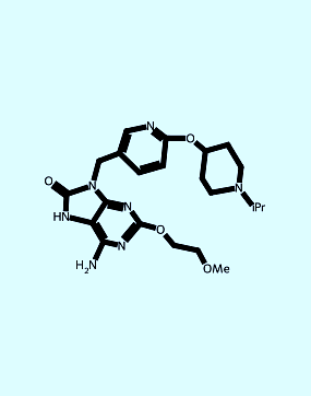 COCCOc1nc(N)c2[nH]c(=O)n(Cc3ccc(OC4CCN(C(C)C)CC4)nc3)c2n1